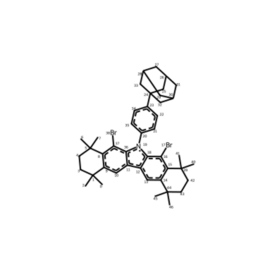 CC1(C)CCC(C)(C)c2c1cc1c3cc4c(c(Br)c3n(-c3ccc(C56CC7CC(CC(C7)C5)C6)cc3)c1c2Br)C(C)(C)CCC4(C)C